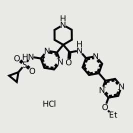 CCOc1cncc(-c2ccc(NC(=O)C3(c4nccc(NS(=O)(=O)C5CC5)n4)CCNCC3)nc2)n1.Cl